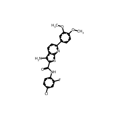 COc1ccc(-c2ccc3c(N)c(C(=O)Nc4ccc(Cl)cc4F)sc3n2)cc1OC